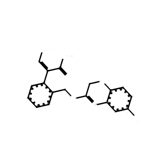 COC=C(C(=O)OC)c1ccccc1COC1=Nc2cc(C(F)(F)F)ccc2OC1